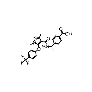 Cc1nn(C)c(Oc2ccc(C(F)(F)F)cc2)c1C(=O)N[C@@H](C)c1ccc(C(=O)O)cc1